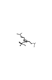 CC(C)CC[Si](CCC(C)C)C(C)(C)C